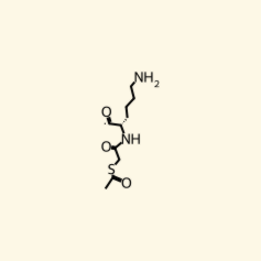 CC(=O)SCC(=O)N[C@H]([C]=O)CCCCN